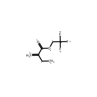 C=C(CC)C(=O)OCC(F)(F)F